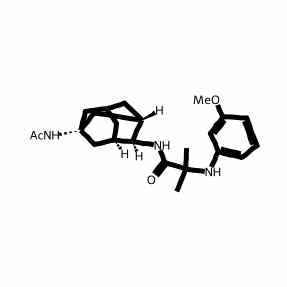 COc1cccc(NC(C)(C)C(=O)N[C@H]2[C@@H]3CC4C[C@H]2C[C@](NC(C)=O)(C4)C3)c1